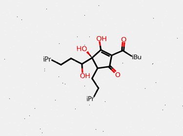 CCC(C)C(=O)C1=C(O)[C@@](O)(C(O)CCC(C)C)C(CCC(C)C)C1=O